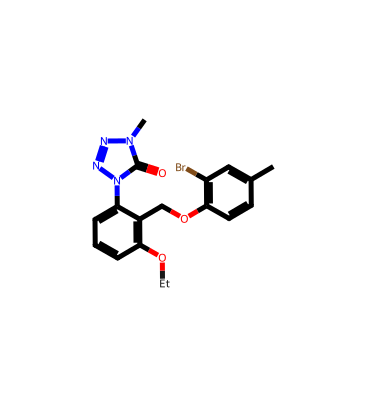 CCOc1cccc(-n2nnn(C)c2=O)c1COc1ccc(C)cc1Br